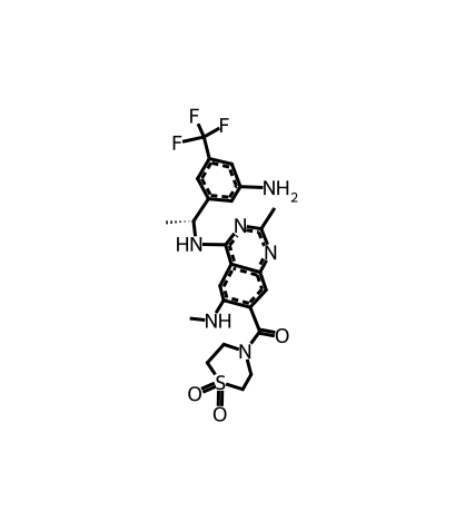 CNc1cc2c(N[C@H](C)c3cc(N)cc(C(F)(F)F)c3)nc(C)nc2cc1C(=O)N1CCS(=O)(=O)CC1